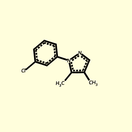 Cc1cnn(-c2cccc(Cl)c2)c1C